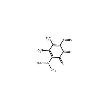 CN(C)C1=C([N+](=O)[O-])C(C(F)(F)F)=C(C=S)C(=S)C1=S